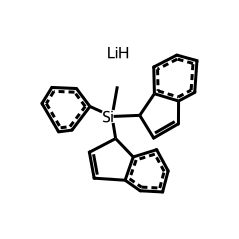 C[Si](c1ccccc1)(C1C=Cc2ccccc21)C1C=Cc2ccccc21.[LiH]